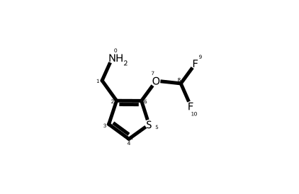 NCc1c[c]sc1OC(F)F